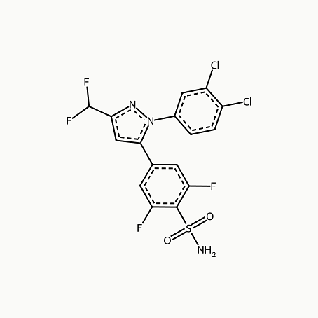 NS(=O)(=O)c1c(F)cc(-c2cc(C(F)F)nn2-c2ccc(Cl)c(Cl)c2)cc1F